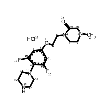 CN1CCN(CCOc2cc(F)c(N3CCNCC3)c(F)c2)C(=O)C1.Cl